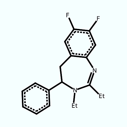 CCC1=Nc2cc(F)c(F)cc2CC(c2ccccc2)N1CC